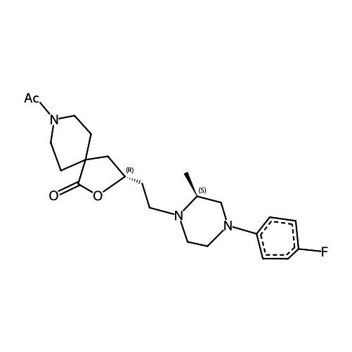 CC(=O)N1CCC2(CC1)C[C@H](CCN1CCN(c3ccc(F)cc3)C[C@@H]1C)OC2=O